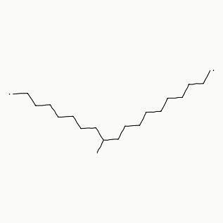 [CH2]CCCCCCCCCC(C)CCCCCCC[CH2]